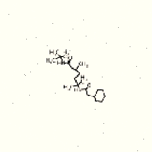 CC(CCC(C)(C)NC(=O)CC1CCCCC1)CC(=O)NC(C)(C)C